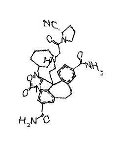 N#C[C@@H]1CCCN1C(=O)CNCCC1(c2nc(=O)on2C2CCCCC2)c2ccc(C(N)=O)cc2CCc2cc(C(N)=O)ccc21